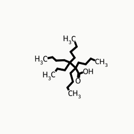 CCCCC(CCC)(CCCC)C(CCCC)(CCCC)C(=O)O